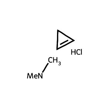 C1=CC1.CNC.Cl